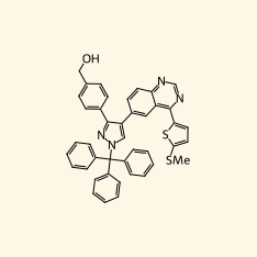 CSc1ccc(-c2ncnc3ccc(-c4cn(C(c5ccccc5)(c5ccccc5)c5ccccc5)nc4-c4ccc(CO)cc4)cc23)s1